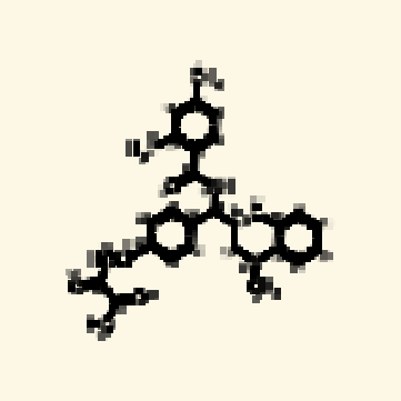 Cc1ccc(C(=O)NC(CCN(C)c2ccccc2C)c2ccc(Cl)cc2)c(C)c1.O=C(O)C(=O)O